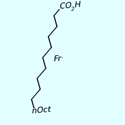 CCCCCCCCCCCCCCCCCC(=O)O.[Fr]